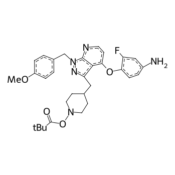 COc1ccc(Cn2nc(CC3CCN(OC(=O)C(C)(C)C)CC3)c3c(Oc4ccc(N)cc4F)ccnc32)cc1